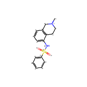 CN1CCc2c(cccc2NS(=O)(=O)c2ccccc2)C1